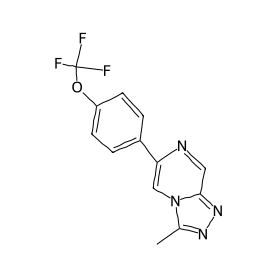 Cc1nnc2cnc(-c3ccc(OC(F)(F)F)cc3)cn12